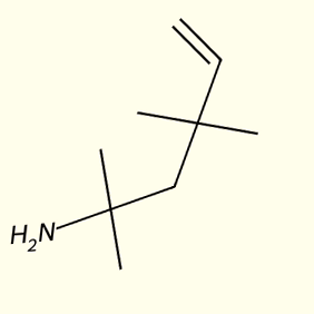 C=CC(C)(C)CC(C)(C)N